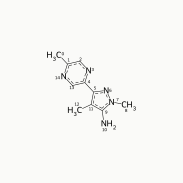 Cc1cnc(-c2nn(C)c(N)c2C)cn1